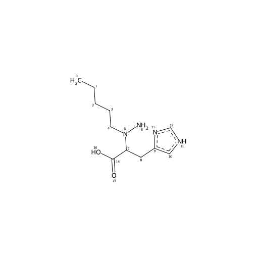 CCCCCN(N)C(Cc1c[nH]cn1)C(=O)O